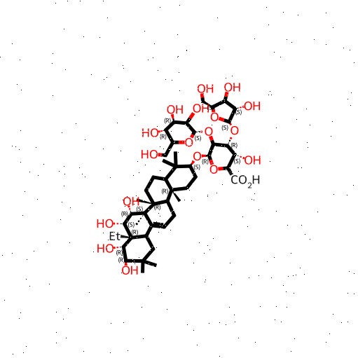 CC[C@@]12C(CC(C)(C)[C@@H](O)[C@@H]1O)C1=CCC3[C@@]4(C)CC[C@H](O[C@@H]5OC(C(=O)O)[C@@H](O)[C@@H](O[C@@H]6O[C@@H](CO)C(O)[C@@H]6O)C5O[C@@H]5OC(CO)[C@H](O)[C@@H](O)C5O)C(C)(C)C4CC[C@@]3(C)[C@]1(C)[C@@H](O)[C@H]2O